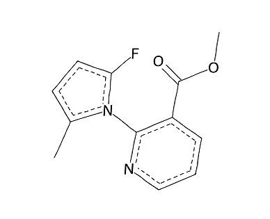 COC(=O)c1cccnc1-n1c(C)ccc1F